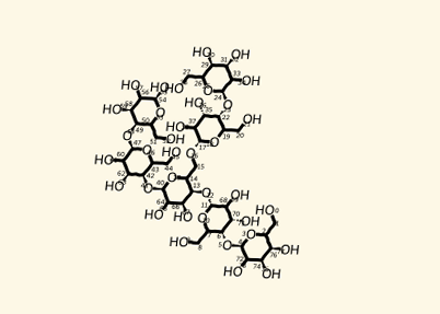 OCC1O[C@H](O[C@@H]2C(CO)O[C@H](O[C@@H]3C(CO[C@H]4OC(CO)[C@@H](O[C@H]5OC(CO)[C@@H](O)[C@@H](O)C5O)[C@@H](O)C4O)O[C@H](O[C@@H]4C(CO)O[C@H](O[C@@H]5C(CO)O[C@H](O)C(O)[C@@H]5O)C(O)[C@@H]4O)C(O)[C@@H]3O)C(O)[C@@H]2O)C(O)[C@H](O)[C@@H]1O